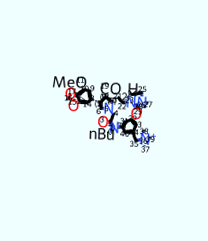 CCCCN(C(=O)CN1C[C@H](c2cc(OC)c3c(c2)OCO3)[C@@H](C(=O)O)[C@@H]1CCN1CCN(C)C1=O)c1cccc(C[N+](C)(C)C)c1